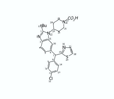 CC(C)(C)c1nc2ccc(C(c3ccc(Cl)cc3)c3nccs3)cc2n1C1CCN(C(=O)O)CC1